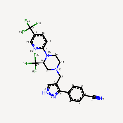 N#Cc1ccc(-c2n[nH]cc2CN2CCN(c3ccc(C(F)(F)F)cn3)[C@H](C(F)(F)F)C2)cc1